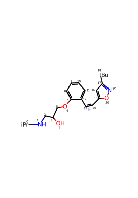 CC(C)NCC(O)COc1ccccc1/C=C\c1cc(C(C)(C)C)no1